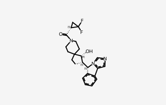 O=C([C@@H]1CC1(F)F)N1CCC2(CC[C@@H]([C@H]3c4ccccc4-c4cncn43)[C@H]2O)CC1